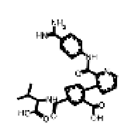 CC(C)C(NC(=O)c1ccc(-c2cccnc2C(=O)Nc2ccc(C(=N)N)cc2)c(C(=O)O)c1)C(=O)O